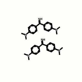 CN(C)c1ccc(C(=N)c2ccc(N(C)C)cc2)cc1.CN(C)c1ccc(C(=N)c2ccc(N(C)C)cc2)cc1